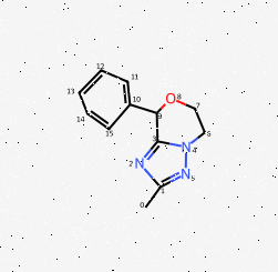 Cc1nc2n(n1)CCOC2c1ccccc1